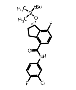 CC(C)(C)[Si](C)(C)O[C@H]1CCc2c(C(=O)Nc3ccc(F)c(Cl)c3)ccc(F)c21